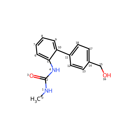 CNC(=O)Nc1ccccc1-c1ccc(CO)cc1